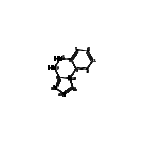 c1ccc2c(c1)NNc1nncn1-2